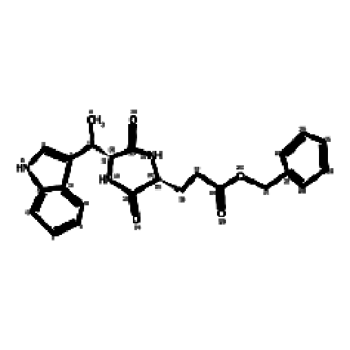 CC(c1c[nH]c2ccccc12)[C@H]1NC(=O)[C@@H](CCC(=O)OCc2ccccc2)NC1=O